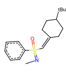 CN=S(=O)(C=C1CCC(C(C)(C)C)CC1)c1ccccc1